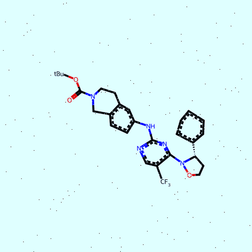 CC(C)(C)OC(=O)N1CCc2cc(Nc3ncc(C(F)(F)F)c(N4OCC[C@H]4c4ccccc4)n3)ccc2C1